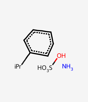 CC(C)c1ccccc1.N.O=S(=O)(O)O